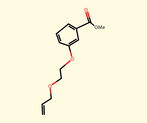 C=CCOCCOc1cccc(C(=O)OC)c1